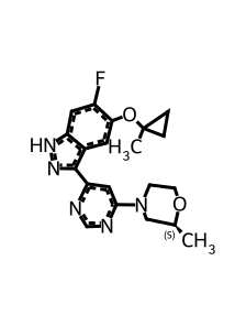 C[C@H]1CN(c2cc(-c3n[nH]c4cc(F)c(OC5(C)CC5)cc34)ncn2)CCO1